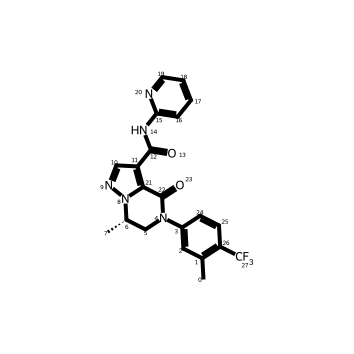 Cc1cc(N2C[C@H](C)n3ncc(C(=O)Nc4ccccn4)c3C2=O)ccc1C(F)(F)F